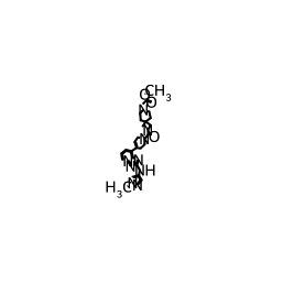 COC(=O)CN1CCC2(CC1)CN(C(=O)N1CC=C(c3cccn4nc(Nc5cnn(C)c5)nc34)CC1)C2